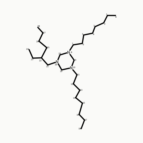 CCCCCCCCN1CN(CCCCCCCC)CN(CC(CC)CCCC)C1